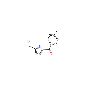 Cc1ccc(C(=O)c2ccc(CBr)n2C)cc1